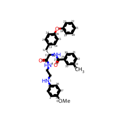 COc1ccc(NCCNC(=O)[C@H](Cc2ccc(Oc3ccccc3)cc2)NC(=O)c2cccc(C)c2)cc1